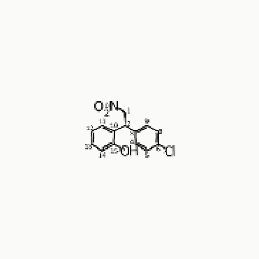 O=[N+]([O-])C[C@@H](c1ccc(Cl)cc1)c1ccccc1O